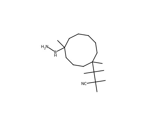 CC1(BN)CCCCCC(C)(C(C)(C)C(C)(C)C#N)CCC1